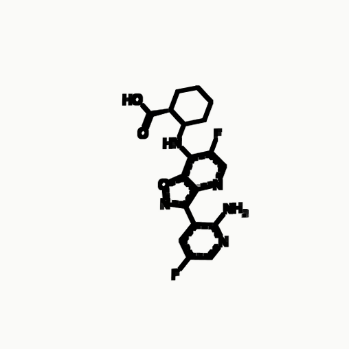 Nc1ncc(F)cc1-c1noc2c(NC3CCCC[C@@H]3C(=O)O)c(F)cnc12